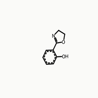 Oc1ccccc1C1=NCCO1